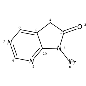 CC(C)N1C(=O)Cc2cncnc21